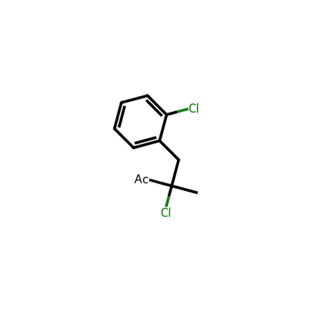 CC(=O)C(C)(Cl)Cc1ccccc1Cl